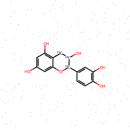 Oc1cc(O)c2c(c1)O[13CH](c1ccc(O)c(O)c1)[13CH](O)[13CH2]2